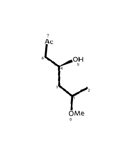 COC(C)C[C@H](O)CC(C)=O